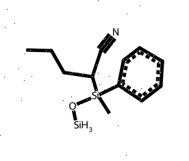 CCCC(C#N)[Si](C)(O[SiH3])c1ccccc1